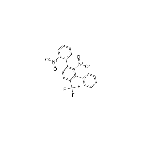 O=[N+]([O-])c1ccccc1-c1ccc(C(F)(F)F)c(-c2ccccc2)c1[N+](=O)[O-]